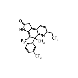 CC1(c2cccc(C(F)(F)F)c2)C2=NC(CC(F)(F)F)C=CC2=C2CC(=O)NC2=C1C(F)(F)F